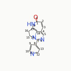 O=C1C=CC2=CN=C(c3ccncc3)N3CCC(=C23)N1